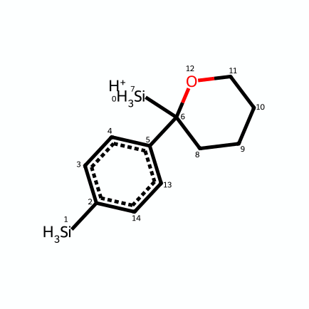 [H+].[SiH3]c1ccc(C2([SiH3])CCCCO2)cc1